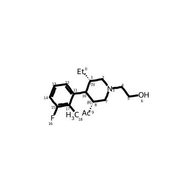 CC[C@@H]1CN(CCO)C[C@H](C(C)=O)C1c1cccc(F)c1C